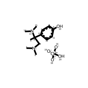 CN(C)CC(C)(c1ccc(O)cc1)N(C)C.[O-][Cl+3]([O-])([O-])O